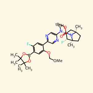 COCOc1cc(B2OC(C)(C)C(C)(C)O2)c(F)cc1-c1cnc(N(C)[C@@H]2C[C@@]3(C)CC[C@@](C)([C@@H]2F)N3C(=O)OC(C)(C)C)cn1